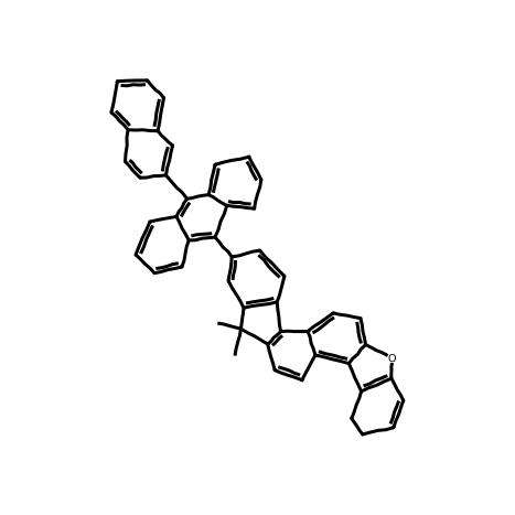 CC1(C)c2cc(-c3c4ccccc4c(-c4ccc5ccccc5c4)c4ccccc34)ccc2-c2c1ccc1c2ccc2oc3c(c21)CCC=C3